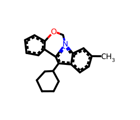 Cc1ccc2c(C3CCCCC3)c3n(c2c1)COc1ccccc1-3